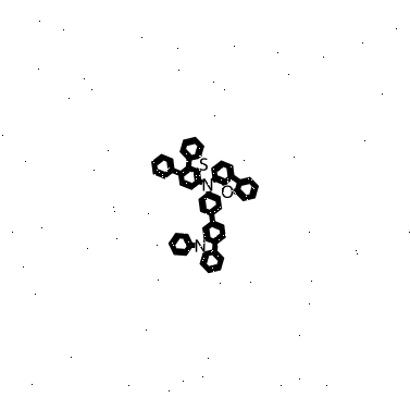 c1ccc(-c2ccc(N(c3ccc(-c4ccc5c6ccccc6n(-c6ccccc6)c5c4)cc3)c3cccc4c3oc3ccccc34)c3sc4ccccc4c23)cc1